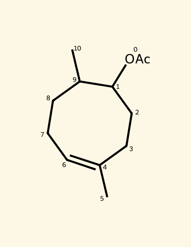 CC(=O)OC1CCC(C)=CCCC1C